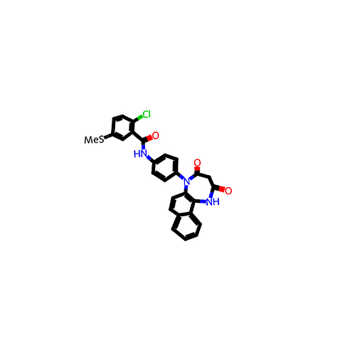 CSc1ccc(Cl)c(C(=O)Nc2ccc(N3C(=O)CC(=O)Nc4c3ccc3ccccc43)cc2)c1